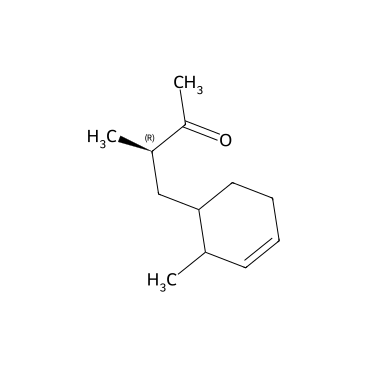 CC(=O)[C@H](C)CC1CCC=CC1C